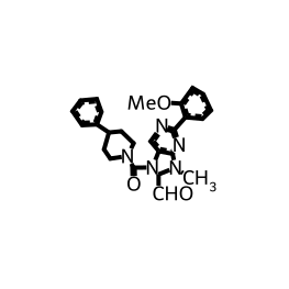 COc1ccccc1-c1ncc2c(n1)N(C)C(C=O)N2C(=O)N1CCC(c2ccccc2)CC1